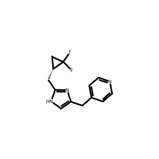 FC1(F)C[C@H]1Cc1nc(Cc2ccncc2)c[nH]1